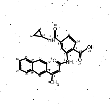 C/C(=C/C(=O)Nc1cc(C(=O)NC2CC2)ccc1C(=O)O)c1ccc2ccccc2c1